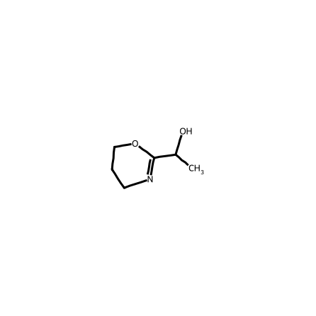 CC(O)C1=NCCCO1